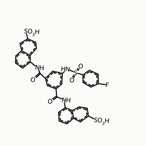 O=C(Nc1cccc2cc(S(=O)(=O)O)ccc12)c1cc(NS(=O)(=O)c2ccc(F)cc2)cc(C(=O)Nc2cccc3cc(S(=O)(=O)O)ccc23)c1